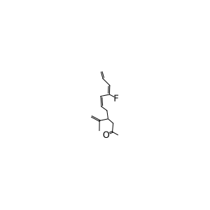 C=C/C=C(F)\C=C/CC(CC(C)=O)C(=C)C